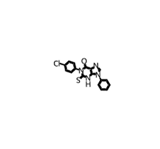 O=c1c2ncn(-c3ccccc3)c2[nH]c(=S)n1-c1ccc(Cl)cc1